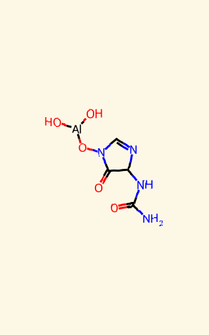 NC(=O)NC1N=CN([O][Al]([OH])[OH])C1=O